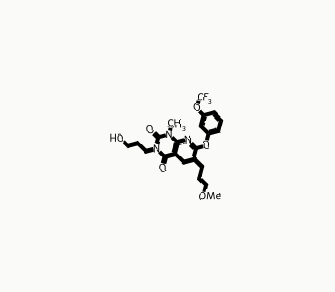 COCCCC1Cc2c(n(C)c(=O)n(CCCO)c2=O)N=C1Oc1cccc(OC(F)(F)F)c1